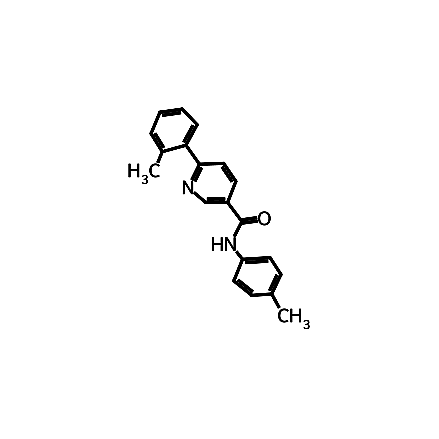 Cc1ccc(NC(=O)c2ccc(-c3ccccc3C)nc2)cc1